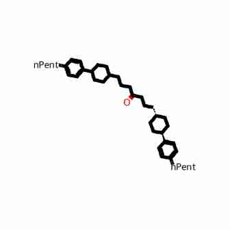 CCCCCc1ccc(C2CCC(CCCC(=O)CCC[C@H]3CC[C@H](c4ccc(CCCCC)cc4)CC3)CC2)cc1